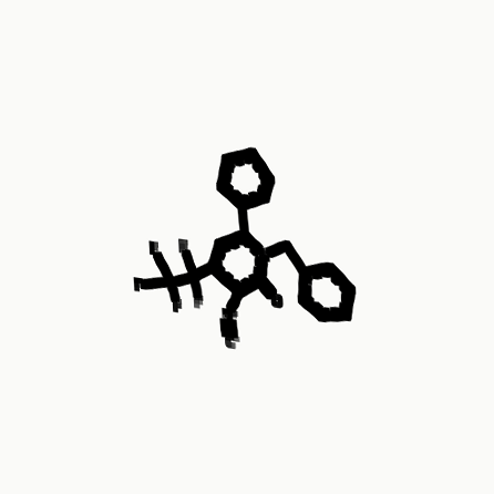 [C-]#[N+]c1c(C(F)(F)C(F)(F)F)cc(-c2ccccc2)n(Cc2ccccc2)c1=O